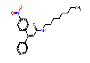 CCCCCCCCNC(=O)C=C(c1ccccc1)c1ccc([N+](=O)[O-])cc1